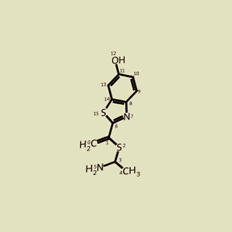 C=C(SC(C)N)c1nc2ccc(O)cc2s1